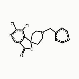 O=C1OC2(CCN(Cc3ccccc3)CC2)c2c1cnc(Cl)c2Cl